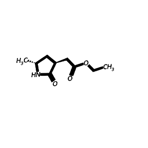 CCOC(=O)C[C@@H]1C[C@@H](C)NC1=O